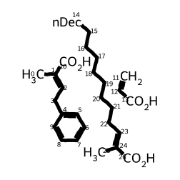 C/C(=C\Cc1ccccc1)C(=O)O.C=CC(=O)O.CCCCCCCCCCCCCCCCCC/C=C(\C)C(=O)O